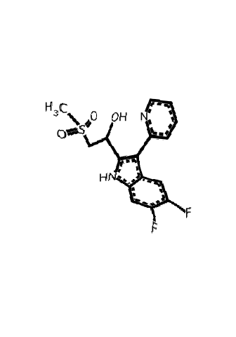 CS(=O)(=O)CC(O)c1[nH]c2cc(F)c(F)cc2c1-c1ccccn1